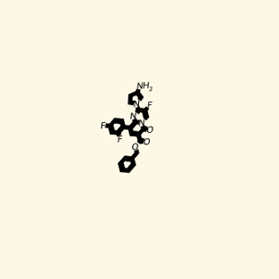 NC1CCN(c2nc3c(-c4ccc(F)cc4F)cc(C(=O)OCc4ccccc4)c(=O)n3cc2F)C1